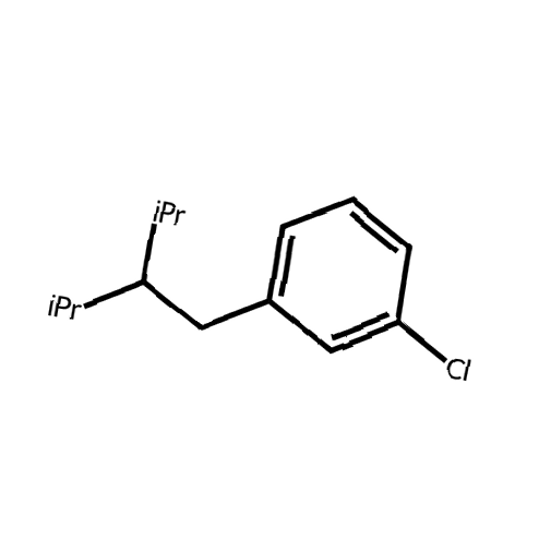 CC(C)C(Cc1cccc(Cl)c1)C(C)C